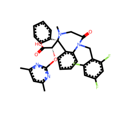 Cc1cc(C)nc(O[C@H](C(=O)O)[C@]2(c3ccccc3)c3ccccc3N(Cc3c(F)cc(F)cc3F)C(=O)CN2C)n1